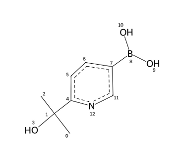 CC(C)(O)c1ccc(B(O)O)cn1